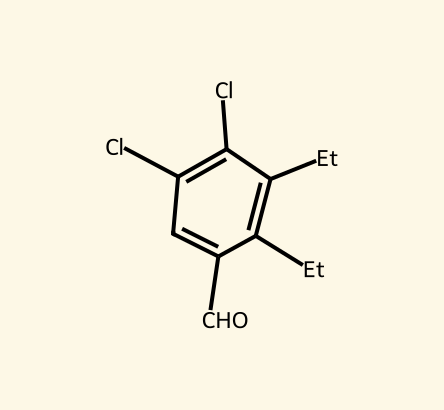 CCc1c(C=O)cc(Cl)c(Cl)c1CC